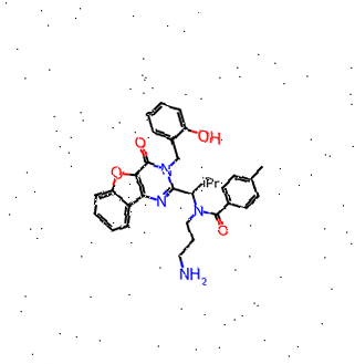 Cc1ccc(C(=O)N(CCCN)C(c2nc3c(oc4ccccc43)c(=O)n2Cc2ccccc2O)C(C)C)cc1